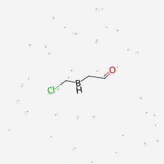 O=CCBCCl